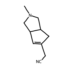 CN1CC2C=C(CC#N)CC2C1